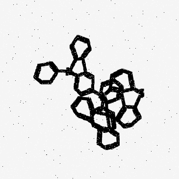 c1ccc(N(c2ccc3c(c2)c2ccccc2n3-c2ccccc2)c2cccc3sc4cccc(C5(c6ccccc6)c6ccccc6-c6ccccc65)c4c23)cc1